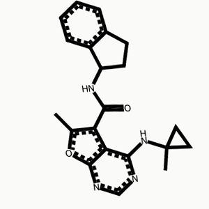 Cc1oc2ncnc(NC3(C)CC3)c2c1C(=O)NC1CCc2ccccc21